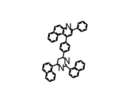 c1ccc(-c2cc(-c3ccc(C4CC(c5cccc6ccccc56)=NC(c5cccc6ccccc56)=N4)cc3)c3c(ccc4ccccc43)n2)cc1